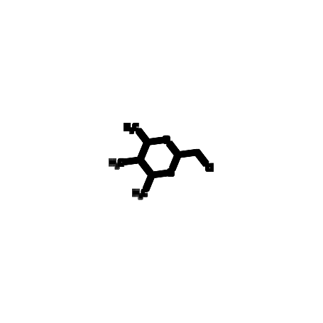 CC1OC(CCl)OC(C)C1C